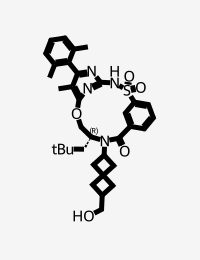 Cc1cccc(C)c1-c1nc2nc(c1C)OC[C@@H](CC(C)(C)C)N(C1CC3(CC(CO)C3)C1)C(=O)c1cccc(c1)S(=O)(=O)N2